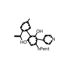 C=C(C)c1ccc(C)cc1-c1c(O)cc(CCCCC)c(-c2ccncc2)c1O